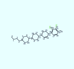 CCCCC1CCC(C2CCC(C3C=CC(c4ccc(C)c(F)c4F)CC3)CC2)CC1